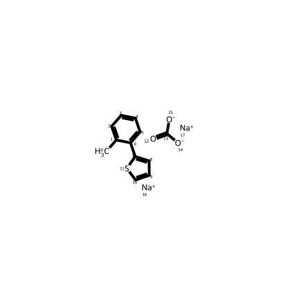 Cc1ccccc1-c1cccs1.O=C([O-])[O-].[Na+].[Na+]